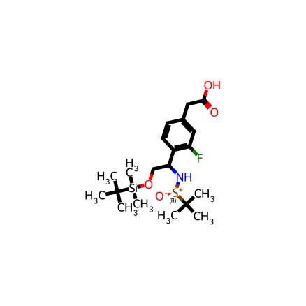 CC(C)(C)[S@+]([O-])NC(CO[Si](C)(C)C(C)(C)C)c1ccc(CC(=O)O)cc1F